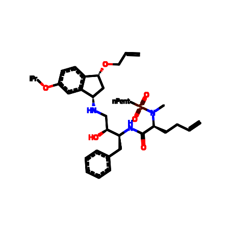 C=CCC[C@@H](C(=O)N[C@@H](Cc1ccccc1)[C@@H](O)CN[C@H]1C[C@@H](OCC=C)c2ccc(OC(C)C)cc21)N(C)S(=O)(=O)CCCCC